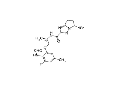 Cc1cc(F)c(NC=O)c(OC[C@@H](C)NC(=O)c2nc3n(n2)C(C(C)C)CC3)c1